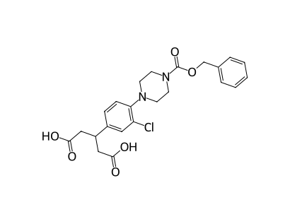 O=C(O)CC(CC(=O)O)c1ccc(N2CCN(C(=O)OCc3ccccc3)CC2)c(Cl)c1